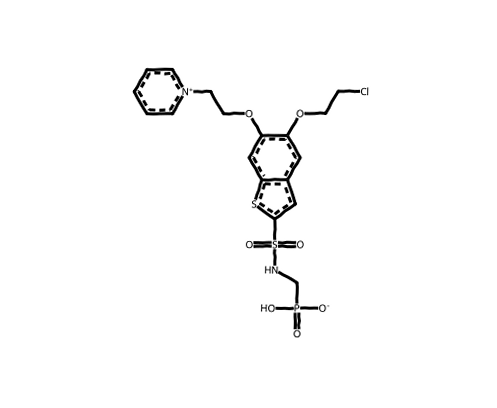 O=P([O-])(O)CNS(=O)(=O)c1cc2cc(OCCCl)c(OCC[n+]3ccccc3)cc2s1